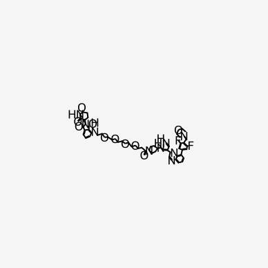 N=C/C(=C\NC1CCN(C(=O)CCOCCOCCOCCOCCNc2cccc3c2C(=O)N(C2CCC(=O)NC2=O)C3=O)CC1)c1cnc2cccc(-c3cc(F)c(CN4CCOCC4)c(F)c3)c2n1